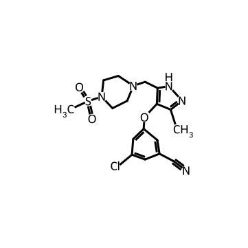 Cc1n[nH]c(CN2CCN(S(C)(=O)=O)CC2)c1Oc1cc(Cl)cc(C#N)c1